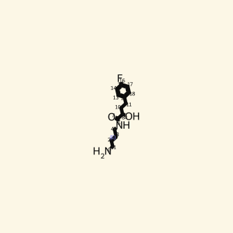 NC/C=C/CNC(=O)C(O)CCc1ccc(F)cc1